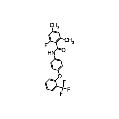 Cc1cc(C)c(C(=O)Nc2ccc(Oc3ccccc3C(F)(F)F)cc2)c(F)c1